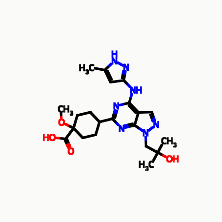 COC1(C(=O)O)CCC(c2nc(Nc3cc(C)[nH]n3)c3cnn(CC(C)(C)O)c3n2)CC1